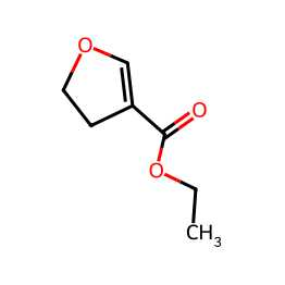 CCOC(=O)C1=COCC1